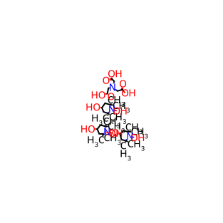 CC1(C)CC(O)CC(C)(C)N1O.CC1(C)CC(O)CC(C)(C)N1O.CC1(C)CC(O)CC(C)(C)N1O.O=C(O)CN(CC(=O)O)CC(=O)O